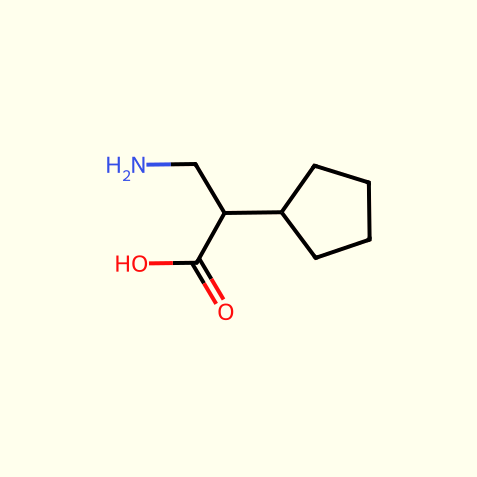 NCC(C(=O)O)C1CCCC1